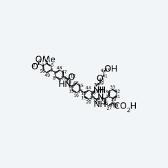 COC(=O)c1ccc(-c2ccc(C(=O)Nc3ccc(-c4ccc(C(=N)Nc5ccc(C(=O)O)c6ccccc56)c(NCCOCCO)c4)cc3)cc2)cc1